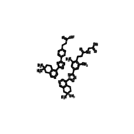 CC1(C)CCc2c(cncc2-c2nc(-c3ccc(CCC(=O)O)cc3)no2)C1.Cc1cc(-c2noc(-c3cncc4c3CCC(C)(C)C4)n2)cc(C)c1CCC(=O)NCC(=O)O